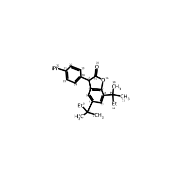 CCC(C)(C)c1cc2c(c(C(C)(C)CC)c1)OC(=O)C2c1ccc(C(C)C)cc1